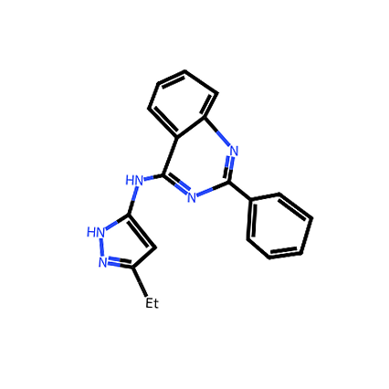 CCc1cc(Nc2nc(-c3ccccc3)nc3ccccc23)[nH]n1